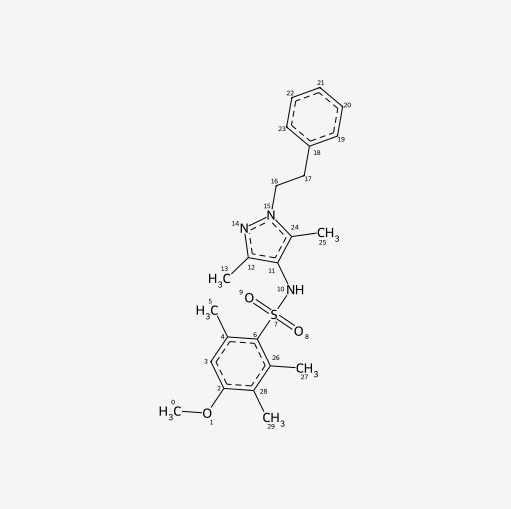 COc1cc(C)c(S(=O)(=O)Nc2c(C)nn(CCc3ccccc3)c2C)c(C)c1C